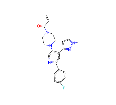 C=CC(=O)N1CCN(c2cnc(-c3ccc(F)cc3)cc2-c2ccn(C)n2)CC1